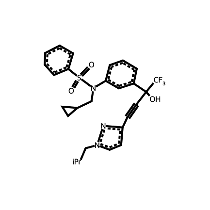 CC(C)Cn1ccc(C#CC(O)(c2cccc(N(CC3CC3)S(=O)(=O)c3ccccc3)c2)C(F)(F)F)n1